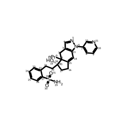 CCCC12Cc3cnn(-c4cccnc4)c3C=C1CC[C@@]2(O)CCc1ccccc1S(N)(=O)=O